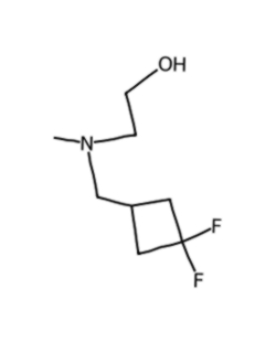 CN(CCO)CC1CC(F)(F)C1